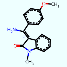 COc1ccc(/C(N)=C2/C(=O)N(C)c3ccccc32)cc1